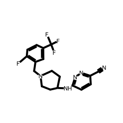 N#Cc1ccc(NC2CCN(Cc3cc(C(F)(F)F)ccc3F)CC2)nn1